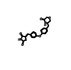 O=C1COCC(Cc2ccc(Oc3ccc(/C=C4\SC(=O)NC4=O)cc3)cc2)N1